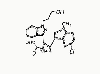 Cn1cc(-c2c[nH]c(C(=O)C=O)c2-c2nn(CCCO)c3ccccc23)c2cc(Cl)ccc21